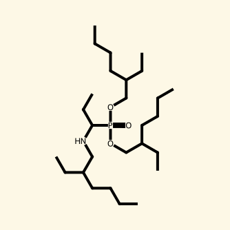 CCCCC(CC)CNC(CC)P(=O)(OCC(CC)CCCC)OCC(CC)CCCC